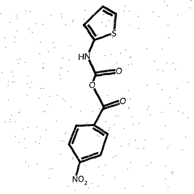 O=C(Nc1cccs1)OC(=O)c1ccc([N+](=O)[O-])cc1